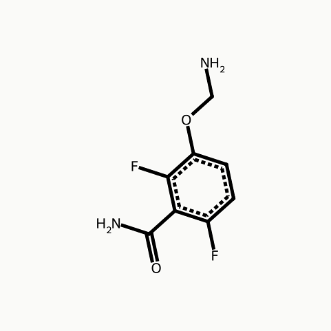 NCOc1ccc(F)c(C(N)=O)c1F